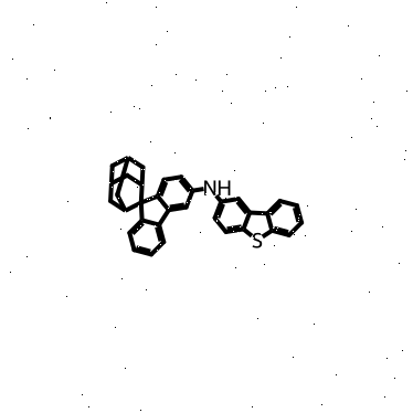 c1ccc2c(c1)-c1cc(Nc3ccc4sc5ccccc5c4c3)ccc1C21C2CC3CC(C2)CC1C3